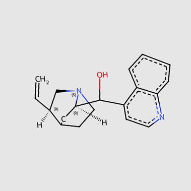 C=C[C@H]1C[N@@]2CCC1C[C@@H]2C(O)c1ccnc2ccccc12